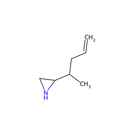 C=CCC(C)C1CN1